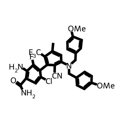 COc1ccc(CN(Cc2ccc(OC)cc2)c2cc(C)c(C(F)(F)F)c(-c3c(Cl)cc(C(N)=O)c(N)c3F)c2C#N)cc1